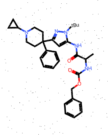 CC(NC(=O)OCc1ccccc1)C(=O)Nc1cc(C2(c3ccccc3)CCN(C3CC3)CC2)nn1C(C)(C)C